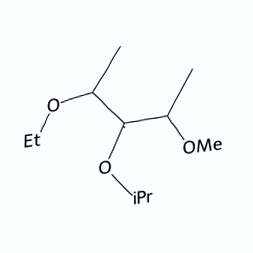 CCOC(C)[C](OC(C)C)C(C)OC